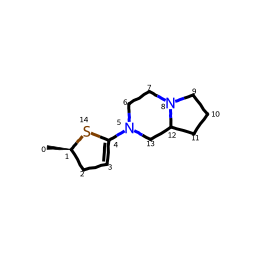 C[C@@H]1CC=C(N2CCN3CCCC3C2)S1